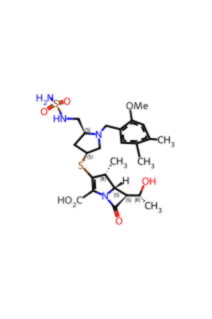 COc1cc(C)c(C)cc1CN1C[C@@H](SC2=C(C(=O)O)N3C(=O)[C@H]([C@@H](C)O)[C@H]3[C@H]2C)C[C@H]1CNS(N)(=O)=O